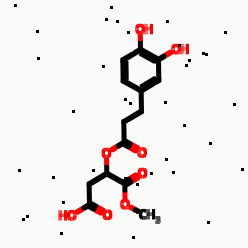 COC(=O)C(CC(=O)O)OC(=O)CCc1ccc(O)c(O)c1